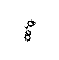 O=C(C1CCC(F)(F)CC1)N1CCC2(CCNCC2)C1